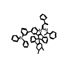 C=C(/C=C(\N=C(/C)c1ccccc1)n1c2c(c3cc(-c4cccc(N(c5ccccc5)c5ccccc5)c4)ccc31)C1(C3=C(CC(C)C(C)C3)c3ccccc31)c1ccccc1-2)c1ccccc1